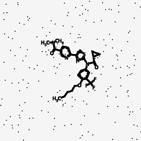 CCCCCOc1ccc(N(C(=O)C2CC2)c2nc(-c3ccc(C(=O)N(C)C)cn3)cs2)cc1C(F)(F)F